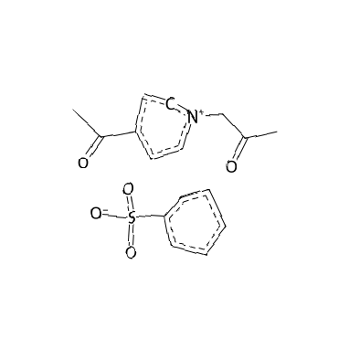 CC(=O)C[n+]1ccc(C(C)=O)cc1.O=S(=O)([O-])c1ccccc1